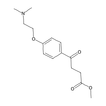 COC(=O)CCC(=O)c1ccc(OCCN(C)C)cc1